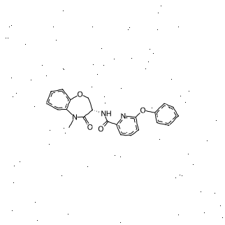 CN1C(=O)[C@@H](NC(=O)c2cccc(Oc3ccccc3)n2)COc2ccccc21